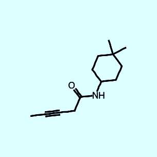 CC#CCC(=O)NC1CCC(C)(C)CC1